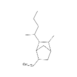 CCCC(C)C1C(C)C2CC(C=O)C1C2